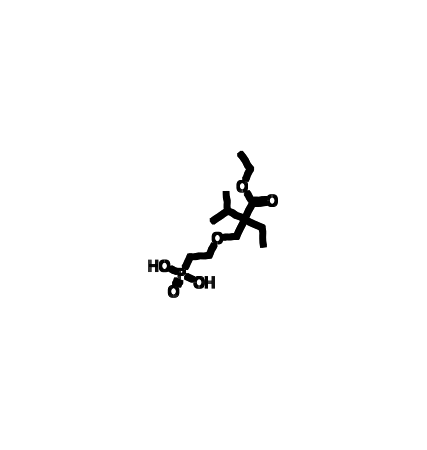 CCOC(=O)C(CC)(COCCP(=O)(O)O)C(C)C